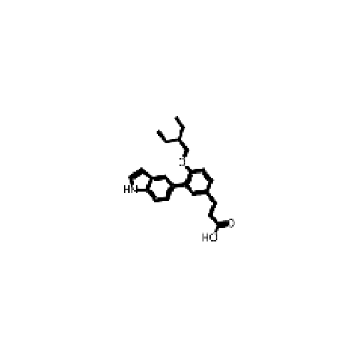 CCC(CC)COc1ccc(CCC(=O)O)cc1-c1ccc2[nH]ccc2c1